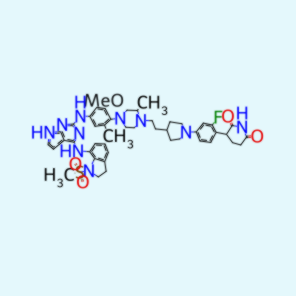 COc1cc(N2CCN(CCC3CCN(c4ccc(C5CCC(=O)NC5=O)c(F)c4)CC3)[C@H](C)C2)c(C)cc1Nc1nc(Nc2cccc3c2N(S(C)(=O)=O)CC3)c2cc[nH]c2n1